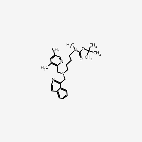 Cc1cnc(CN(CCCCN(C)C(=O)OC(C)(C)C)Cc2nccc3ccccc23)c(C)c1